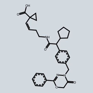 O=C(NCC/C=C\C1(C(=O)O)CC1)C(c1ccc(CN2N=C(c3ccccc3)OCC2=O)cc1)C1CCCC1